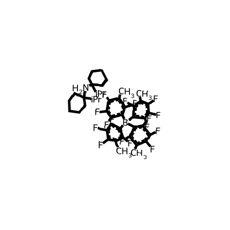 CC(C)C1([NH2+]C2(C(C)C)CCCCC2)CCCCC1.Cc1c(F)c(F)c(F)c([B-](c2c(F)c(C)c(F)c(F)c2F)(c2c(F)c(C)c(F)c(F)c2F)c2c(F)c(C)c(F)c(F)c2F)c1F